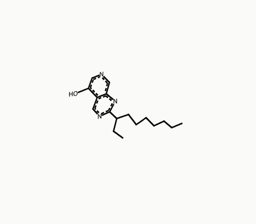 CCCCCCCC(CC)c1ncc2c(O)cncc2n1